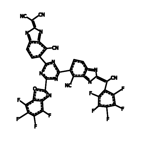 N#CC(C#N)=C1N=c2ccc(-c3nc(-c4nc5c(F)c(F)c(F)c(F)c5o4)nc(-c4ccc5c(c4C#N)=N/C(=C(/C#N)c4c(F)c(F)c(F)c(F)c4F)N=5)n3)c(C#N)c2=N1